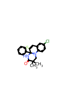 CC1(C)CN2c3ccc(Cl)cc3C=C(F)C2(c2ccccc2)NC1=O